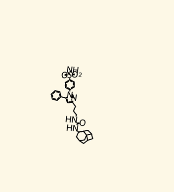 NS(=O)(=O)c1ccc(-n2nc(CCCNC(=O)NC34CC5CC6CC(C3)C6(C5)C4)cc2-c2ccccc2)cc1